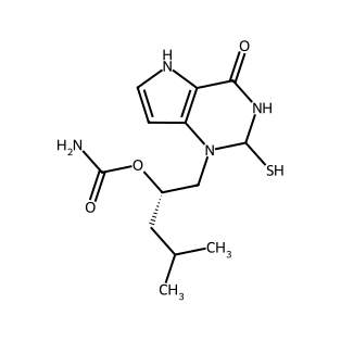 CC(C)C[C@@H](CN1c2cc[nH]c2C(=O)NC1S)OC(N)=O